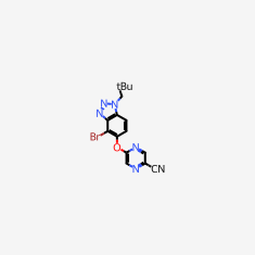 CC(C)(C)Cn1nnc2c(Br)c(Oc3cnc(C#N)cn3)ccc21